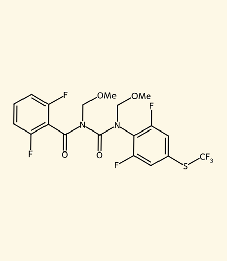 COCN(C(=O)c1c(F)cccc1F)C(=O)N(COC)c1c(F)cc(SC(F)(F)F)cc1F